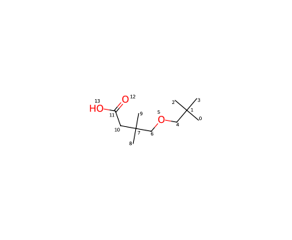 CC(C)(C)COCC(C)(C)CC(=O)O